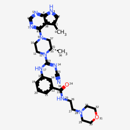 Cc1c[nH]c2ncnc(N3CCN(C(=NC#N)Nc4cccc(C(=O)NCCN5CCOCC5)c4)[C@@H](C)C3)c12